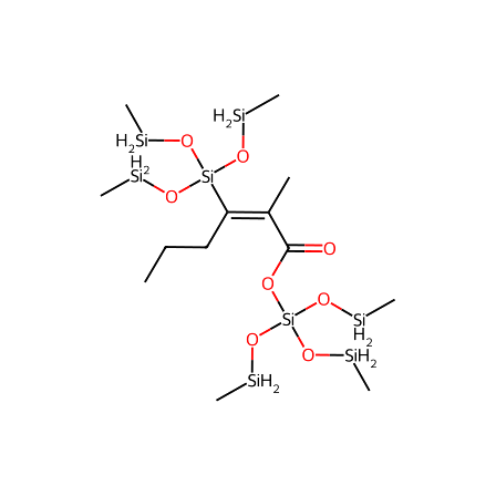 CCCC(=C(C)C(=O)O[Si](O[SiH2]C)(O[SiH2]C)O[SiH2]C)[Si](O[SiH2]C)(O[SiH2]C)O[SiH2]C